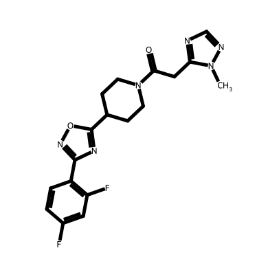 Cn1ncnc1CC(=O)N1CCC(c2nc(-c3ccc(F)cc3F)no2)CC1